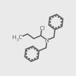 CCCC(Cl)N(Cc1ccccc1)Cc1ccccc1